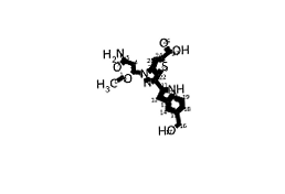 CCOC(CC(N)=O)n1nc(-c2cc3cc(CO)ccc3[nH]2)c2sc(C(=O)O)cc21